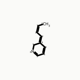 C/C=C\C=C1\C=CC=NC1